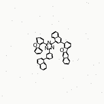 c1cc(-c2nc(-c3cc(-c4cccc5c4oc4cc6ccccc6cc45)cc4ccccc34)nc(-c3cccc4oc5ccccc5c34)n2)cc(-c2cccc3ccccc23)c1